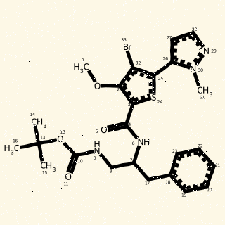 COc1c(C(=O)NC(CNC(=O)OC(C)(C)C)Cc2ccccc2)sc(-c2ccnn2C)c1Br